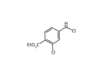 CCOC(=O)c1ccc(NCl)cc1Cl